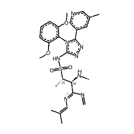 C=N/C(=N\C=C(C)C)[C@H](NC)[C@H](C)S(=O)(=O)Nc1nnc(-c2cncc(C)c2)n1-c1c(OC)cccc1OC